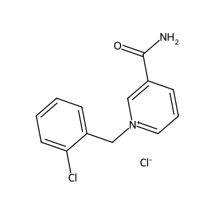 NC(=O)c1ccc[n+](Cc2ccccc2Cl)c1.[Cl-]